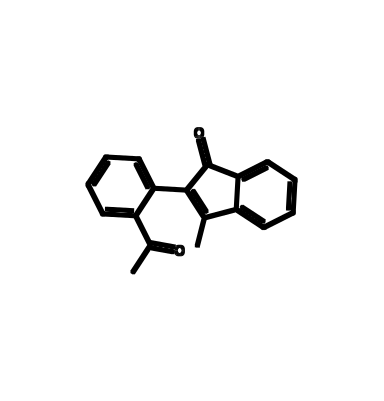 CC(=O)c1ccccc1C1=C(C)c2ccccc2C1=O